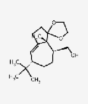 CC(C)(C)[C@@H]1C=C2CCC3(OCCO3)[C@]2(C)[C@@H](CO)CC1